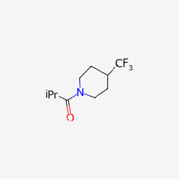 CC(C)C(=O)N1CCC(C(F)(F)F)CC1